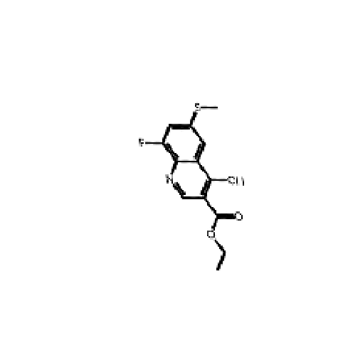 CCOC(=O)c1cnc2c(F)cc(SC)cc2c1O